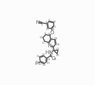 N#Cc1cccc(OC2CCCc3nc(C4(NC(=O)c5ccc(F)cc5)CC4)ccc32)c1